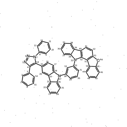 c1ccc(-c2nnn(-c3ccccc3)c2-c2ccc3c(c2)c2ccccc2n3-c2cccc(-n3c4ccccc4c4ccc5oc6ccccc6c5c43)c2)cc1